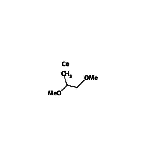 COCC(C)OC.[Ce]